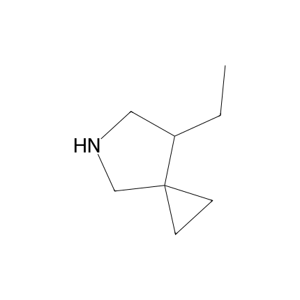 CCC1CNCC12CC2